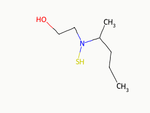 CCCC(C)N(S)CCO